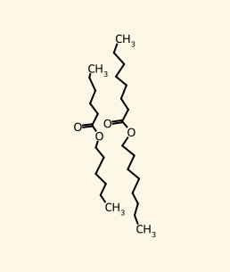 CCCCCCCCOC(=O)CCCCCCC.CCCCCCOC(=O)CCCCC